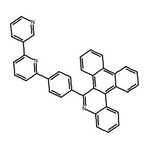 c1cncc(-c2cccc(-c3ccc(-c4nc5ccccc5c5c6ccccc6c6ccccc6c45)cc3)n2)c1